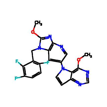 COc1ncnc2ccn(-c3cnc4nc(OC)n(Cc5c(F)ccc(F)c5F)c4c3)c12